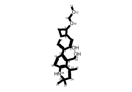 C/C=C(\C(O)=C/C1CCC1OCOC)c1ccc2c(c1CO)C(C)=CC(C)(C)N2